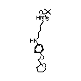 CC(C)(C)S(=O)(=O)NCCCCCNc1ccc(OCC2CCCCO2)cc1